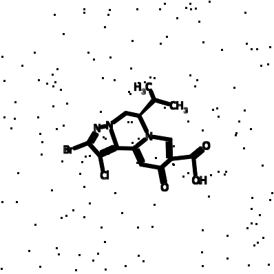 CC(C)[C@@H]1Cn2nc(Br)c(Cl)c2-c2cc(=O)c(C(=O)O)cn21